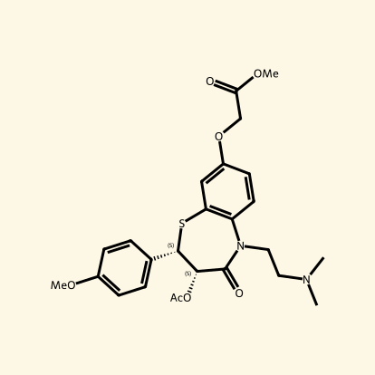 COC(=O)COc1ccc2c(c1)S[C@@H](c1ccc(OC)cc1)[C@@H](OC(C)=O)C(=O)N2CCN(C)C